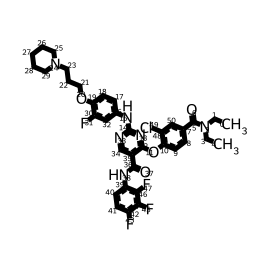 CCN(CC)C(=O)c1ccc(Oc2nc(Nc3ccc(OCCCN4CCCCC4)c(F)c3)ncc2C(=O)Nc2ccc(F)c(F)c2F)c(Cl)c1